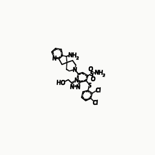 NC1c2cccnc2CC12CCN(c1cc(S(N)(=O)=O)c(Sc3cccc(Cl)c3Cl)c3nnc(CO)n13)CC2